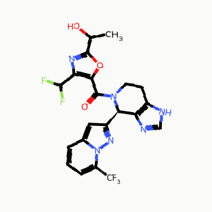 CC(O)c1nc(C(F)F)c(C(=O)N2CCc3[nH]cnc3[C@H]2c2cc3cccc(C(F)(F)F)n3n2)o1